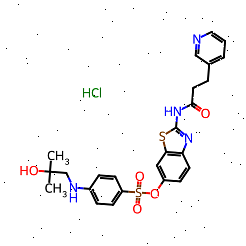 CC(C)(O)CNc1ccc(S(=O)(=O)Oc2ccc3nc(NC(=O)CCc4cccnc4)sc3c2)cc1.Cl